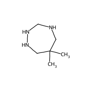 CC1(C)CNCNNC1